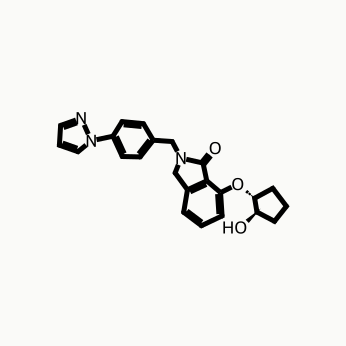 O=C1c2c(cccc2O[C@@H]2CCC[C@H]2O)CN1Cc1ccc(-n2cccn2)cc1